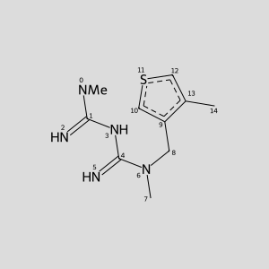 CNC(=N)NC(=N)N(C)Cc1cscc1C